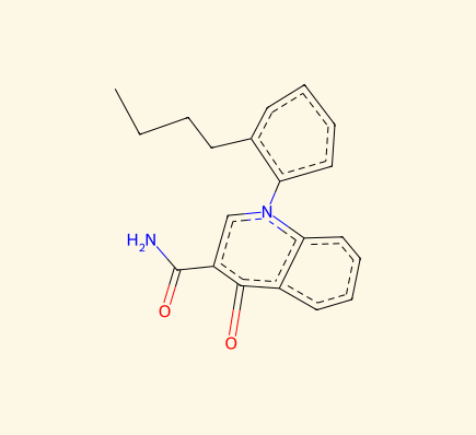 CCCCc1ccccc1-n1cc(C(N)=O)c(=O)c2ccccc21